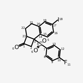 O=C1CC2(S(=O)(=O)c3ccc(F)cc3)c3ccc(I)cc3CCC12